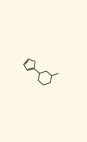 CC1CCCC(c2cccs2)C1